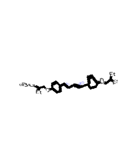 CCCCC(CC)COc1ccc(/C=C/C=C/c2ccc(OCC(CC)CC)cc2)cc1